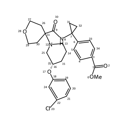 COC(=O)c1ccc(C2(NC(=O)C3(N4CCC[C@H](Oc5cccc(Cl)c5)C4)CCOCC3)CC2)cc1